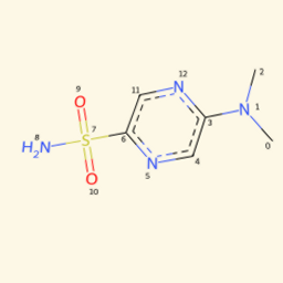 CN(C)c1cnc(S(N)(=O)=O)cn1